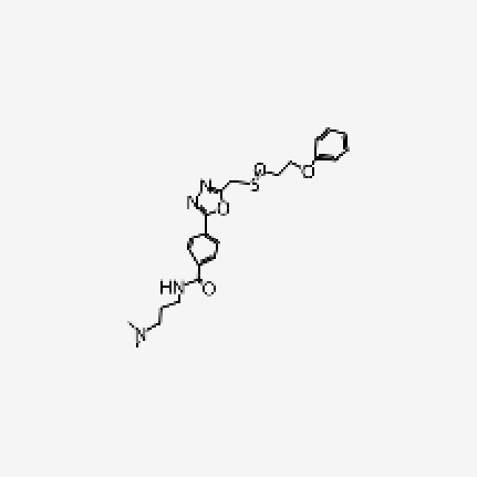 CN(C)CCCNC(=O)c1ccc(-c2nnc(CSOCCOc3ccccc3)o2)cc1